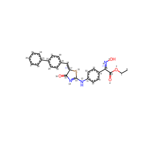 CCOC(=O)/C(=N\O)c1ccc(NC2=NC(=O)/C(=C\c3ccc(-c4ccccc4)cc3)S2)cc1